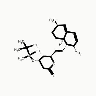 C[C@H]1C=C2C=C[C@H](C)[C@H](CC[C@@H]3C[C@@H](O[Si](C)(C)C(C)(C)C)CC(=O)O3)[C@H]2CC1